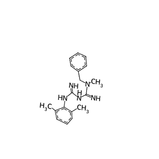 Cc1cccc(C)c1NC(=N)NC(=N)N(C)Cc1ccccc1